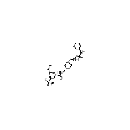 CN(C(=O)CNC[C@H]1CC[C@H](CNC(=O)c2cc(CF)cc(C(F)(F)F)c2)CC1)C1CCCCC1